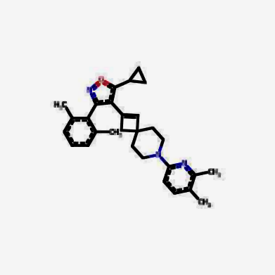 Cc1ccc(N2CCC3(C=C(c4c(-c5c(C)cccc5C)noc4C4CC4)C3)CC2)nc1C